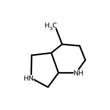 CC1CCNC2CNCC12